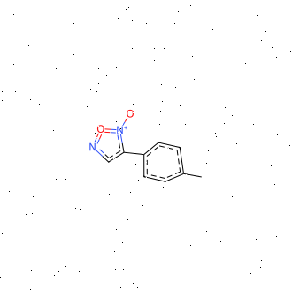 Cc1ccc(-c2cno[n+]2[O-])cc1